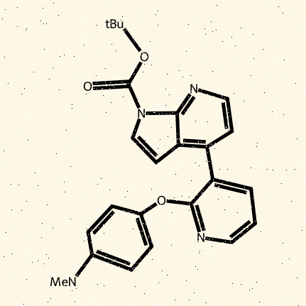 CNc1ccc(Oc2ncccc2-c2ccnc3c2ccn3C(=O)OC(C)(C)C)cc1